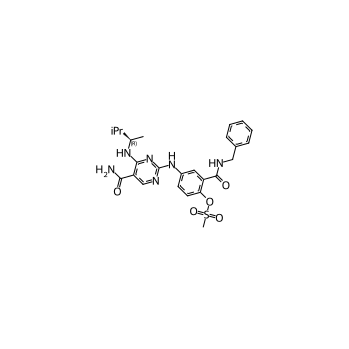 CC(C)[C@@H](C)Nc1nc(Nc2ccc(OS(C)(=O)=O)c(C(=O)NCc3ccccc3)c2)ncc1C(N)=O